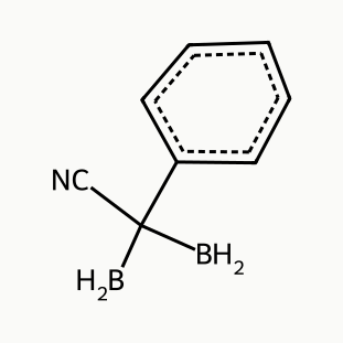 BC(B)(C#N)c1ccccc1